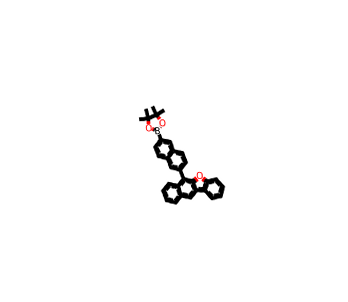 CC1(C)OB(c2ccc3cc(-c4c5ccccc5cc5c4oc4ccccc45)ccc3c2)OC1(C)C